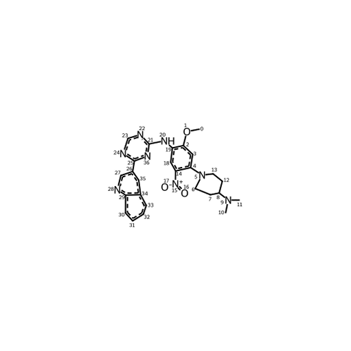 COc1cc(N2CCC(N(C)C)CC2)c([N+](=O)[O-])cc1Nc1ncnc(-c2cnc3ccccc3c2)n1